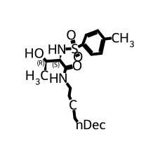 CCCCCCCCCCCCCCNC(=O)[C@@H](NS(=O)(=O)c1ccc(C)cc1)[C@@H](C)O